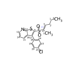 CCC/C=C(\C)S(=O)(=O)c1sc2ncccc2c1-c1ccc(Cl)cc1